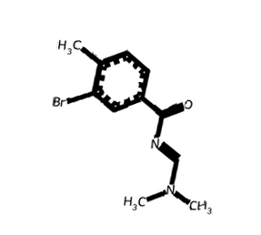 Cc1ccc(C(=O)/N=C/N(C)C)cc1Br